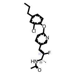 CCCc1ccc(Oc2ccc(/C=C(\F)[C@H](C)NC(C)=O)cn2)c(Cl)c1